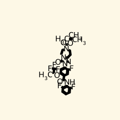 C[C@H](Oc1cc(-n2nc3n(c2=O)CCN(C(=O)OC(C)(C)C)CC3)c(F)cc1C(=O)Nc1c(F)cccc1F)C(F)(F)F